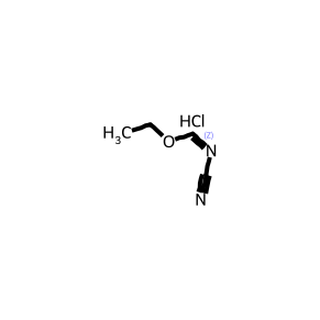 CCO/C=N\C#N.Cl